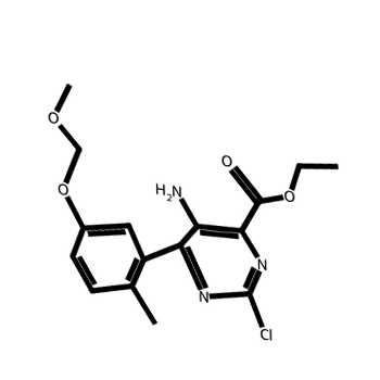 CCOC(=O)c1nc(Cl)nc(-c2cc(OCOC)ccc2C)c1N